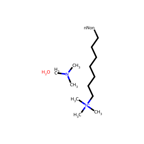 CCCCCCCCCCCCCCCC[N+](C)(C)C.CN(C)C.O